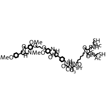 COc1ccc(C2=CN3C(=O)c4cc(OC)c(OCCCOc5cc6c(cc5OC)C(=O)N5C=C(c7ccc(NC(=O)[C@@H](C)NC(=O)[C@H](NC(=O)CCCCCN8C(=O)C(SN[C@@H](CS)C(C)=O)C(SN[C@@H](CS)C(C)=O)C8=O)C(C)C)cc7)C[C@H]5C=N6)cc4N=C[C@@H]3C2)cc1